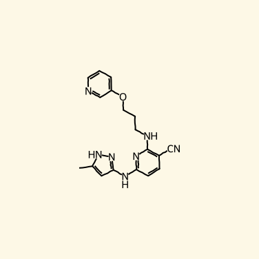 Cc1cc(Nc2ccc(C#N)c(NCCCOc3cccnc3)n2)n[nH]1